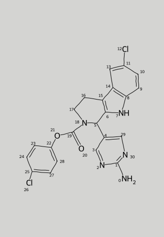 Nc1ncc(C2c3[nH]c4ccc(Cl)cc4c3CCN2C(=O)Oc2ccc(Cl)cc2)cn1